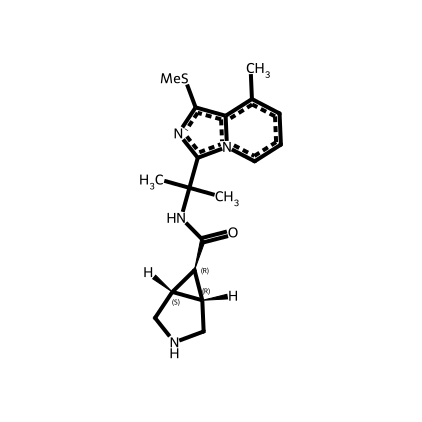 CSc1nc(C(C)(C)NC(=O)[C@H]2[C@@H]3CNC[C@@H]32)n2cccc(C)c12